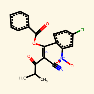 CC(C)C(=O)/C(C#N)=C(\OC(=O)c1ccccc1)c1ccc(Cl)cc1[N+](=O)[O-]